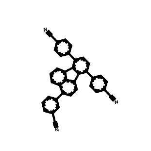 N#Cc1ccc(-c2ccc(-c3ccc(C#N)cc3)c3c2-c2cccc4c(-c5cccc(C#N)c5)ccc-3c24)cc1